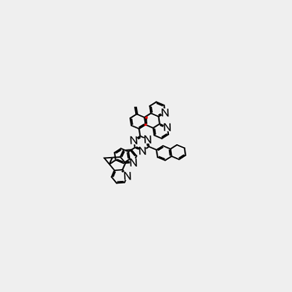 C=C(/C=C\C(=C/C)c1nc(-c2ccc(C34CC3c3cccnc3-c3ncccc34)cc2)nc(-c2ccc3c(c2)CCC=C3)n1)c1cc2cccnc2c2ncccc12